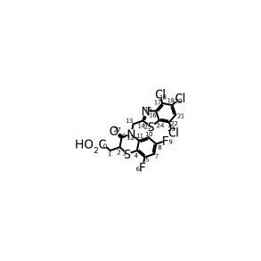 O=C(O)CC1Sc2c(F)cc(F)cc2N(Cc2nc3c(Cl)c(Cl)cc(Cl)c3s2)C1=O